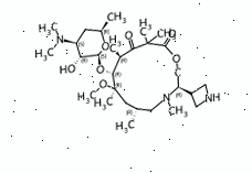 CO[C@]1(C)C[C@@H](C)CN(C)[C@H](C2CNC2)COC(=O)C(C)(C)C(=O)[C@H](C)[C@H]1O[C@@H]1O[C@H](C)C[C@H](N(C)C)[C@H]1O